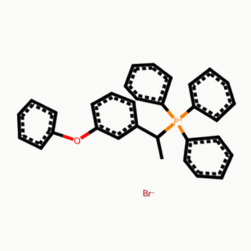 CC(c1cccc(Oc2ccccc2)c1)[P+](c1ccccc1)(c1ccccc1)c1ccccc1.[Br-]